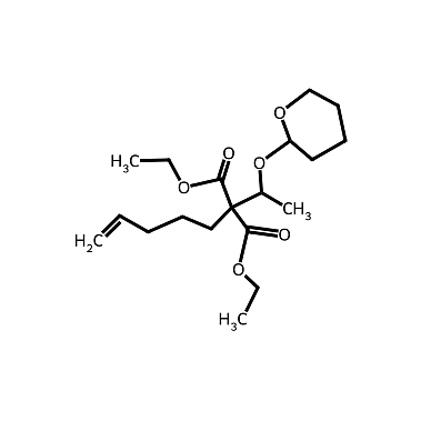 C=CCCCC(C(=O)OCC)(C(=O)OCC)C(C)OC1CCCCO1